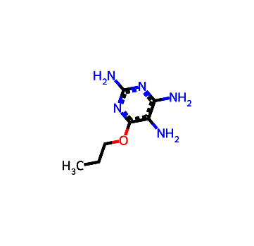 CCCOc1nc(N)nc(N)c1N